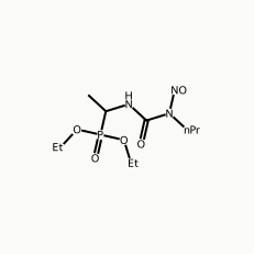 CCCN(N=O)C(=O)NC(C)P(=O)(OCC)OCC